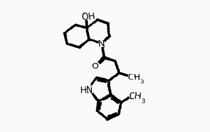 Cc1cccc2[nH]cc(C(C)CC(=O)N3CCCC4(O)CCCCC34)c12